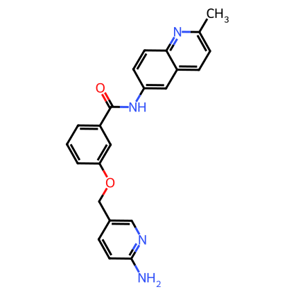 Cc1ccc2cc(NC(=O)c3cccc(OCc4ccc(N)nc4)c3)ccc2n1